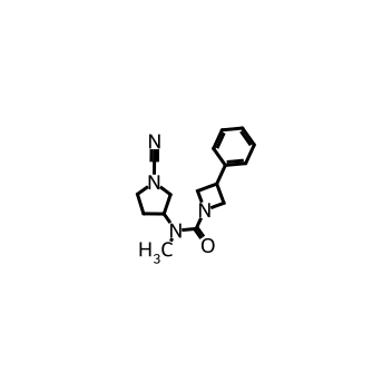 CN(C(=O)N1CC(c2ccccc2)C1)C1CCN(C#N)C1